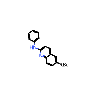 CC(C)(C)c1ccc2nc(Nc3ccccc3)ccc2c1